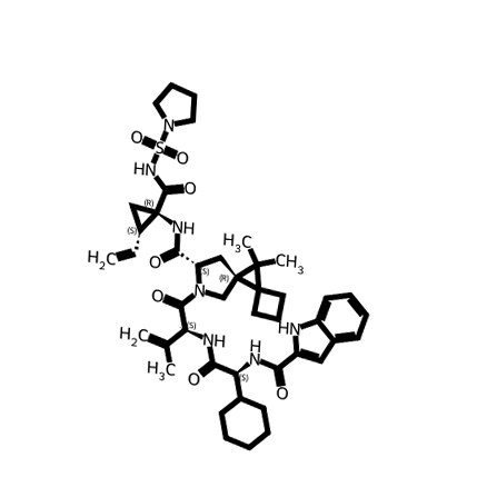 C=C[C@@H]1C[C@]1(NC(=O)[C@@H]1C[C@@]2(CN1C(=O)[C@@H](NC(=O)[C@@H](NC(=O)c1cc3ccccc3[nH]1)C1CCCCC1)C(=C)C)C(C)(C)C21CCC1)C(=O)NS(=O)(=O)N1CCCC1